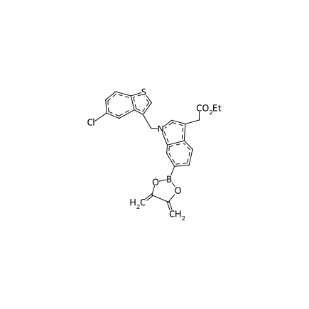 C=C1OB(c2ccc3c(CC(=O)OCC)cn(Cc4csc5ccc(Cl)cc45)c3c2)OC1=C